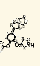 FC(F)Oc1ccc(C2=NOC3(CCOC3)C2)cc1OC1CCNC1